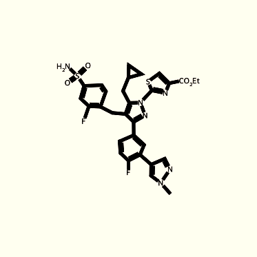 CCOC(=O)c1csc(-n2nc(-c3ccc(F)c(-c4cnn(C)c4)c3)c(Cc3ccc(S(N)(=O)=O)cc3F)c2CC2CC2)n1